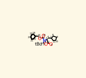 CC(C)(C)[C@H]1OC(=O)[C@H](CC2CCCC2)N1C(=O)OCc1ccccc1